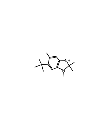 Cc1cc2c(cc1C(C)(C)C)N(C)C(C)(C)N2